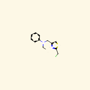 CCN(Cc1csc(CCl)n1)c1ccccc1